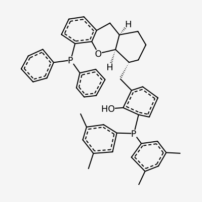 Cc1cc(C)cc(P(c2cc(C)cc(C)c2)c2cccc(C[C@H]3CCC[C@@H]4Cc5cccc(P(c6ccccc6)c6ccccc6)c5O[C@H]34)c2O)c1